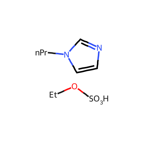 CCCn1ccnc1.CCOS(=O)(=O)O